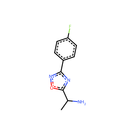 CC(N)c1nc(-c2ccc(F)cc2)no1